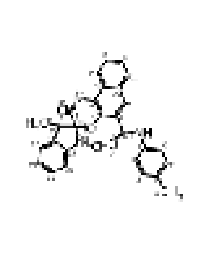 Cc1ccc(NC(=O)c2cc3ccccc3c3c2OC2(C=N3)N(C)c3ccccc3C2(C)C)cc1